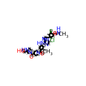 CNCOc1cc(Cl)c(-c2cnc3c(Nc4ccc(C(=O)N5CCC(C(=O)N6CCNC(CO)C6)CC5)c(C)c4)nccn23)cc1F